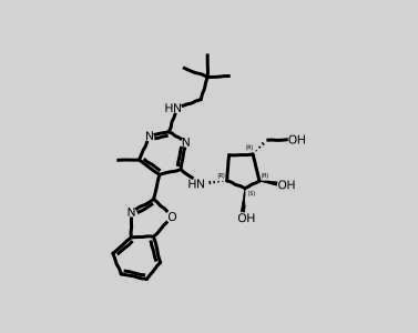 Cc1nc(NCC(C)(C)C)nc(N[C@@H]2C[C@H](CO)[C@@H](O)[C@H]2O)c1-c1nc2ccccc2o1